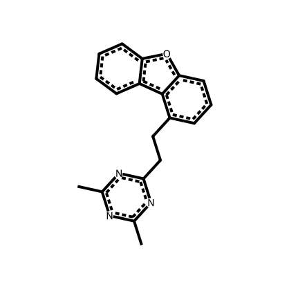 Cc1nc(C)nc(CCc2cccc3oc4ccccc4c23)n1